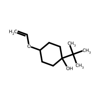 C=COC1CCC(O)(C(C)(C)C)CC1